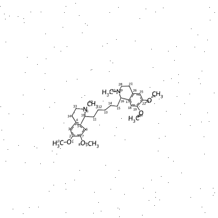 COc1cc2c(cc1OC)C(CCCCCC1c3cc(OC)c(OC)cc3CCN1C)N(C)CC2